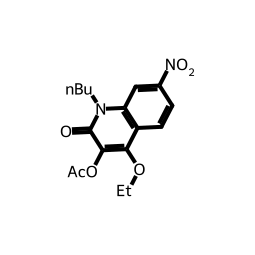 CCCCn1c(=O)c(OC(C)=O)c(OCC)c2ccc([N+](=O)[O-])cc21